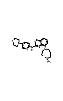 CC(=O)N1CCCN(c2cccc3cnc(Nc4ccc(N5CCOCC5)cn4)nc23)CCC1